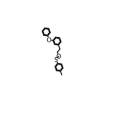 Cc1ccc(SOCCc2cccc(Oc3ccccc3)c2)cc1